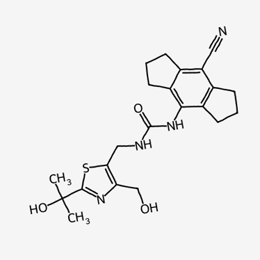 CC(C)(O)c1nc(CO)c(CNC(=O)Nc2c3c(c(C#N)c4c2CCC4)CCC3)s1